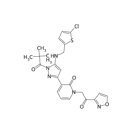 CC(C)(C)C(=O)n1nc(-c2cccn(CC(=O)c3ccon3)c2=O)cc1NCc1ccc(Cl)s1